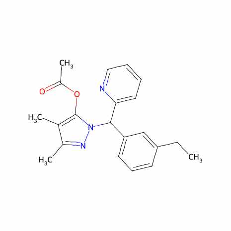 CCc1cccc(C(c2ccccn2)n2nc(C)c(C)c2OC(C)=O)c1